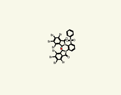 O=C1c2c(Br)c(Br)c(Br)c(Br)c2C(=O)N1c1cccc(S(=O)(=O)c2ccccc2)c1N1C(=O)c2c(Br)c(Br)c(Br)c(Br)c2C1=O